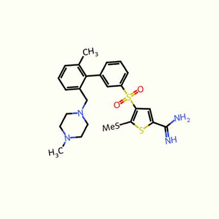 CSc1sc(C(=N)N)cc1S(=O)(=O)c1cccc(-c2c(C)cccc2CN2CCN(C)CC2)c1